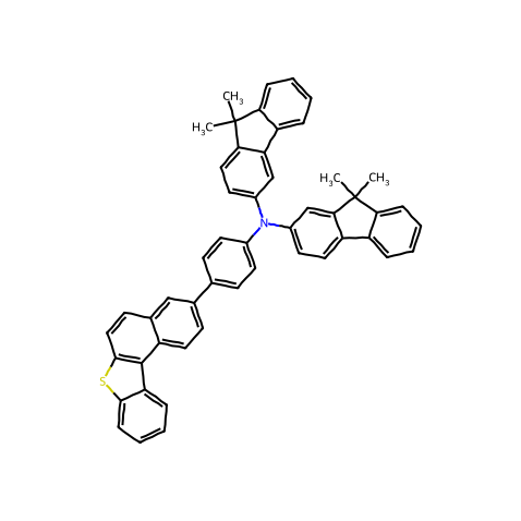 CC1(C)c2ccccc2-c2cc(N(c3ccc(-c4ccc5c(ccc6sc7ccccc7c65)c4)cc3)c3ccc4c(c3)C(C)(C)c3ccccc3-4)ccc21